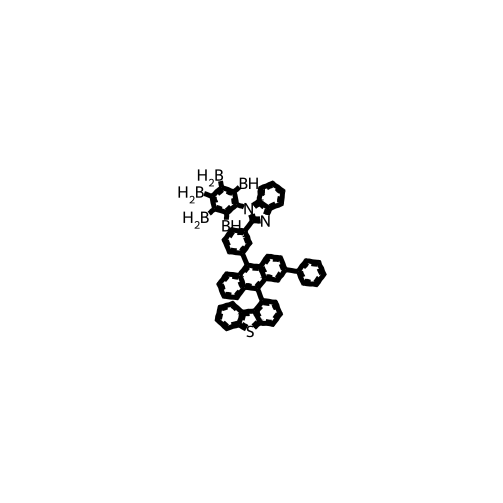 Bc1c(B)c(B)c(-n2c(-c3cccc(-c4c5ccccc5c(-c5cccc6sc7ccccc7c56)c5cc(-c6ccccc6)ccc45)c3)nc3ccccc32)c(B)c1B